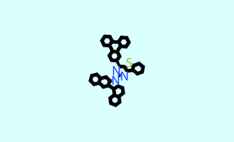 c1ccc2cc3c(cc2c1)c1c2ccccc2ccc1n3-c1nc(-c2ccc3c4ccccc4c4ccccc4c3c2)c2sc3ccccc3c2n1